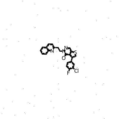 O=c1c2c(-c3ccc(F)c(Cl)c3)csc2cnn1CCc1ccc2ccccc2n1